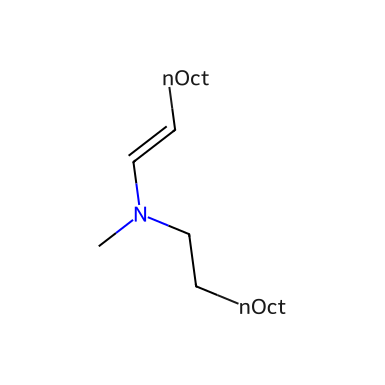 CCCCCCCCC=CN(C)CCCCCCCCCC